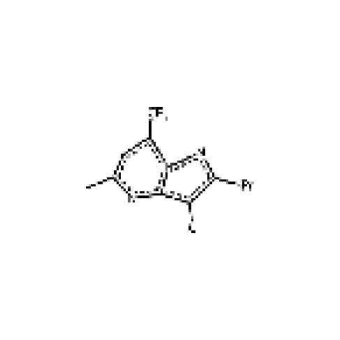 Cc1cc(C(F)(F)F)n2nc(C(C)C)c(Cl)c2n1